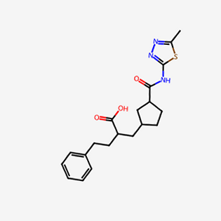 Cc1nnc(NC(=O)C2CCC(CC(CCc3ccccc3)C(=O)O)C2)s1